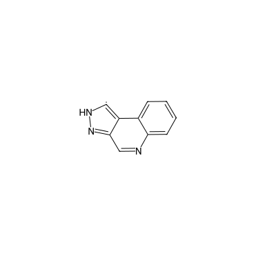 [c]1[nH]nc2cnc3ccccc3c12